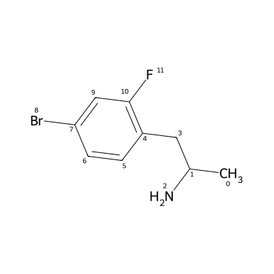 CC(N)Cc1ccc(Br)cc1F